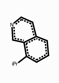 CC(C)c1cccc2ccncc12